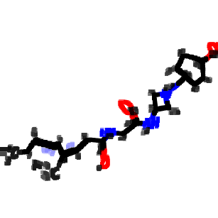 O=C(C/C=C(\C=C/CC(F)(F)F)C(F)(F)F)NCC(=O)NC1CN(C2CCC(O)CC2)C1